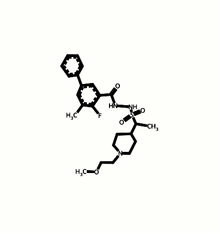 COCCN1CCC(C(C)S(=O)(=O)NNC(=O)c2cc(-c3ccccc3)cc(C)c2F)CC1